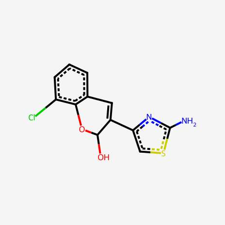 Nc1nc(C2=Cc3cccc(Cl)c3OC2O)cs1